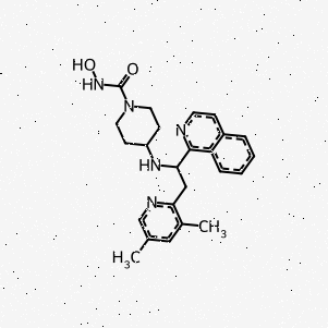 Cc1cnc(CC(NC2CCN(C(=O)NO)CC2)c2nccc3ccccc23)c(C)c1